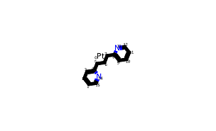 [Pt].c1ccc(CCCc2ccccn2)nc1